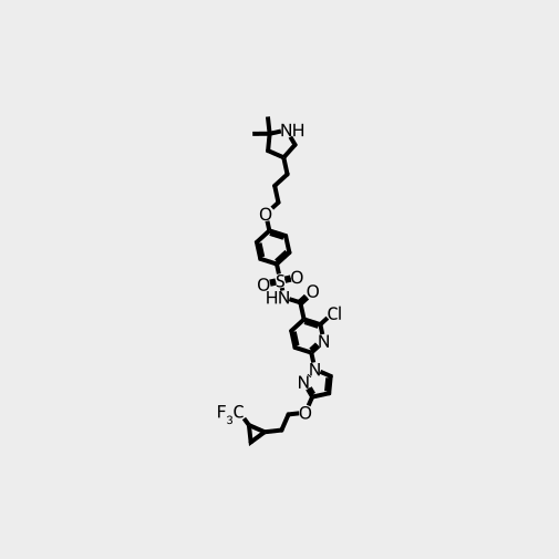 CC1(C)CC(CCCOc2ccc(S(=O)(=O)NC(=O)c3ccc(-n4ccc(OCCC5CC5C(F)(F)F)n4)nc3Cl)cc2)CN1